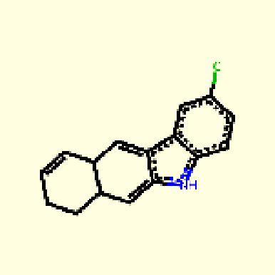 Clc1ccc2[nH]c3c(c2c1)=CC1C=CCCC1C=3